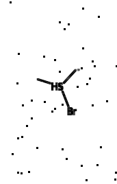 [CH2][SH](C)Br